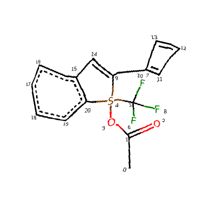 CC(=O)OS1(C(F)(F)F)C(C2=CC=C2)=Cc2ccccc21